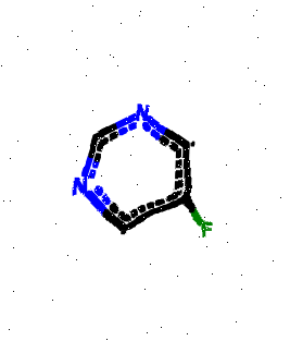 Fc1[c]ncn[c]1